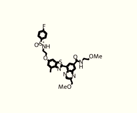 COCCNC(=O)c1cc(-c2nc3c(C)cc(OCCN[S+]([O-])c4ccc(F)cc4)cc3s2)c2ncc(COC)nc2c1